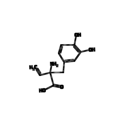 C=CC(N)(Cc1ccc(O)c(O)c1)C(=O)O